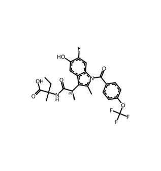 CCC(C)(NC(=O)[C@H](C)c1c(C)n(C(=O)c2ccc(OC(F)(F)F)cc2)c2cc(F)c(O)cc12)C(=O)O